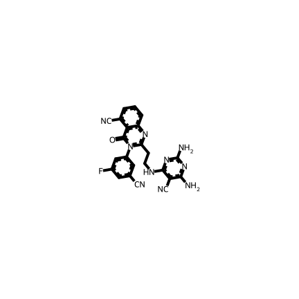 N#Cc1cc(F)cc(-n2c(CCNc3nc(N)nc(N)c3C#N)nc3cccc(C#N)c3c2=O)c1